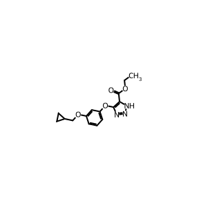 CCOC(=O)c1[nH]nnc1Oc1cccc(OCC2CC2)c1